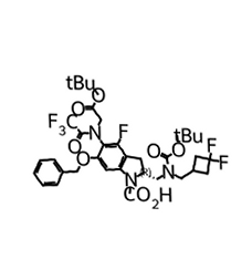 CC(C)(C)OC(=O)CN(C(=O)C(F)(F)F)c1c(OCc2ccccc2)cc2c(c1F)C[C@H](CN(CC1CC(F)(F)C1)C(=O)OC(C)(C)C)N2C(=O)O